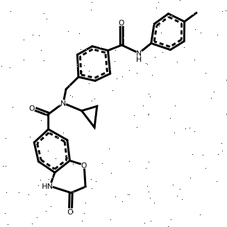 Cc1ccc(NC(=O)c2ccc(CN(C(=O)c3ccc4c(c3)OCC(=O)N4)C3CC3)cc2)cc1